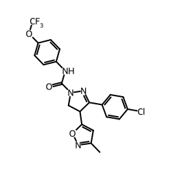 Cc1cc(C2CN(C(=O)Nc3ccc(OC(F)(F)F)cc3)N=C2c2ccc(Cl)cc2)on1